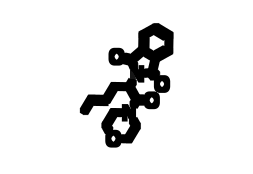 CC=CCC(C(=O)N1CCOCC1)N1C(=O)c2ccccc2C1=O